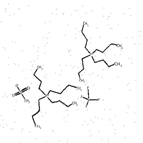 CCCC[P+](CCCC)(CCCC)CCCC.CCCC[P+](CCCC)(CCCC)CCCC.CS(=O)(=O)[O-].F[B-](F)(F)F